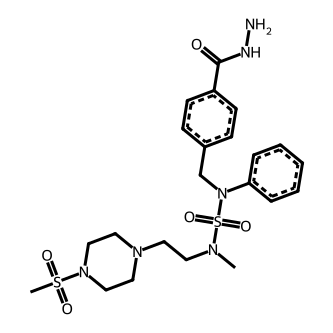 CN(CCN1CCN(S(C)(=O)=O)CC1)S(=O)(=O)N(Cc1ccc(C(=O)NN)cc1)c1ccccc1